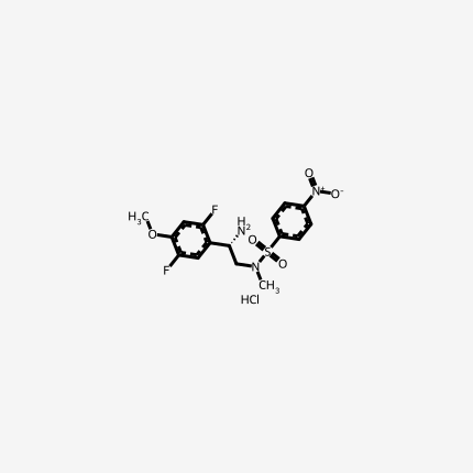 COc1cc(F)c([C@H](N)CN(C)S(=O)(=O)c2ccc([N+](=O)[O-])cc2)cc1F.Cl